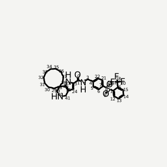 O=C(NCc1ccc(S(=O)(=O)c2ccccc2C(F)(F)F)cc1)c1cc2c([nH]1)C1(CCCCCCCCCC1)CNC2